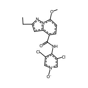 CCc1cc2c(C(=O)Nc3c(Cl)c[n+]([O-])cc3Cl)ccc(OC)n2n1